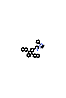 CC1(C)N=C(c2ccccc2)N(c2ccc(-c3ccc4c(-c5ccc6ccccc6c5)c5ccccc5c(-c5ccc6ccccc6c5)c4c3)nc2)C1(C)C